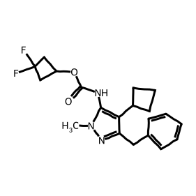 Cn1nc(Cc2ccccc2)c(C2CCC2)c1NC(=O)OC1CC(F)(F)C1